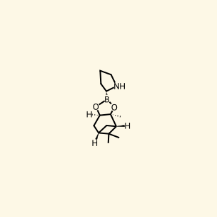 CC1(C)[C@@H]2C[C@H]3OB([C@@H]4CCCN4)O[C@@]3(C)[C@H]1C2